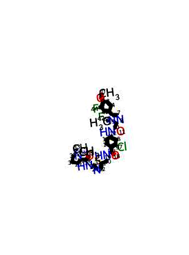 COc1ccc(-c2cnc(C(=O)Nc3ccc(C(=O)NCc4cnc(NC(=O)C5CCC[N+]5(C)C)s4)c(Cl)c3)n2C)c(F)c1F